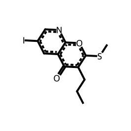 CCCc1c(SC)oc2ncc(I)cc2c1=O